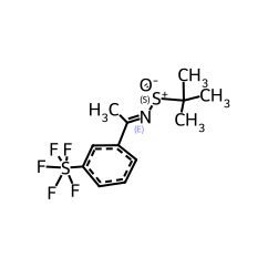 C/C(=N\[S@+]([O-])C(C)(C)C)c1cccc(S(F)(F)(F)(F)F)c1